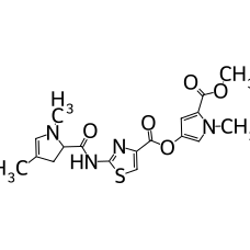 COC(=O)c1cc(OC(=O)c2csc(NC(=O)C3CC(C)=CN3C)n2)cn1C